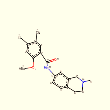 CCCCOc1cc(CC)c(C#N)cc1C(=O)Nc1ccc2c(c1)CN(C)CC2